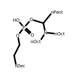 CCCCCCCCCCCCOP(=O)(O)OC(CCCCC)N(CCCCCCCC)CCCCCCCC